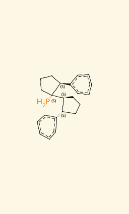 P[C@]1([C@H]2CCC[C@@H]2c2ccccc2)CCC[C@H]1c1ccccc1